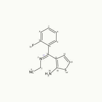 N#CC/N=C(/c1ccccc1F)c1ccsc1N